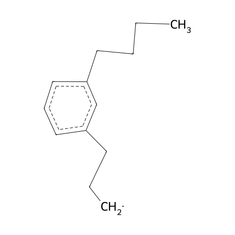 [CH2]CCc1cccc(CCCC)c1